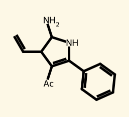 C=CC1C(C(C)=O)=C(c2ccccc2)NC1N